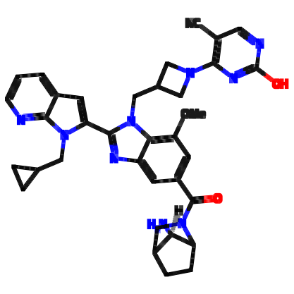 COc1cc(C(=O)N2CC3CCC2[C@@H]3N)cc2nc(-c3cc4cccnc4n3CC3CC3)n(CC3CN(c4nc(O)ncc4C#N)C3)c12